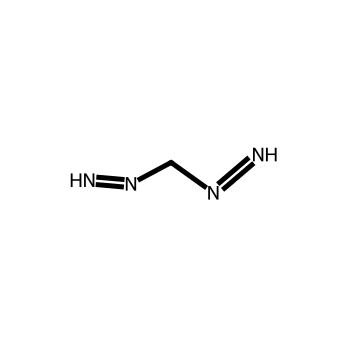 N=NCN=N